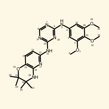 COc1cc(Nc2ncnc(Nc3ccc4c(n3)NC(C)(C)C(C)(C)O4)n2)cc(OC)c1OC